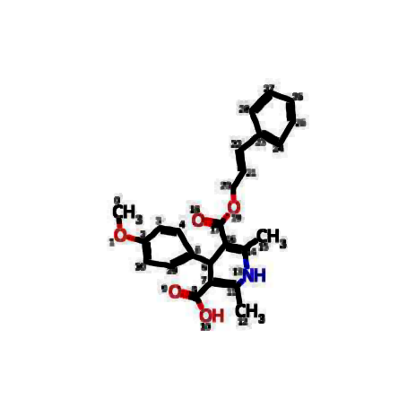 COc1ccc(C2C(C(=O)O)=C(C)NC(C)=C2C(=O)OC/C=C/c2ccccc2)cc1